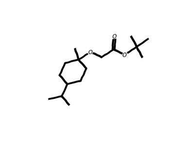 C[C](C)C1CCC(C)(OCC(=O)OC(C)(C)C)CC1